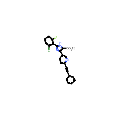 CCOC(=O)c1[nH]c(-c2c(F)cccc2Cl)nc1-c1ccc(C#Cc2ccccc2)nc1